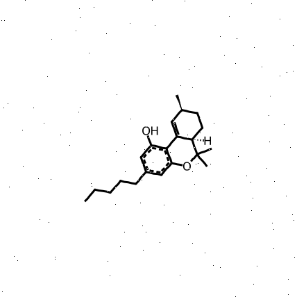 CCCCCc1cc(O)c2c(c1)OC(C)(C)[C@@H]1CC[C@H](C)C=C21